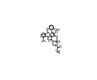 CC(C)c1ncnc(C(C)C)c1N(C)c1nc(-c2c(O)cccc2F)c(Cl)c2c1C(=O)N1CCN(C(=O)OC(C)(C)C)C[C@@H]1CO2